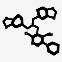 CCCCc1c(-c2ccccc2)nnc(Cl)c1CN(Cc1ccc2c(c1)OCO2)Cc1ccc2c(c1)OCO2